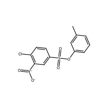 Cc1cccc(OS(=O)(=O)c2ccc(Cl)c([N+](=O)[O-])c2)c1